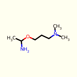 CC(N)OCCCN(C)C